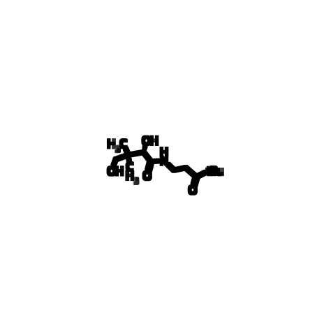 CC(C)(C)C(=O)CCNC(=O)[C@H](O)C(C)(C)CO